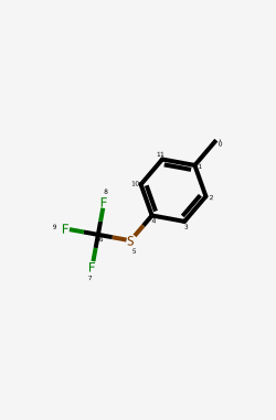 [CH2]c1ccc(SC(F)(F)F)cc1